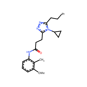 COc1cccc(NC(=O)CCc2nnc(CCC(C)C)n2C2CC2)c1C